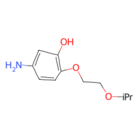 CC(C)OCCOc1ccc(N)cc1O